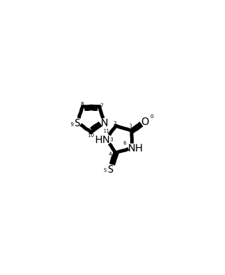 O=C1CNC(=S)N1.c1cscn1